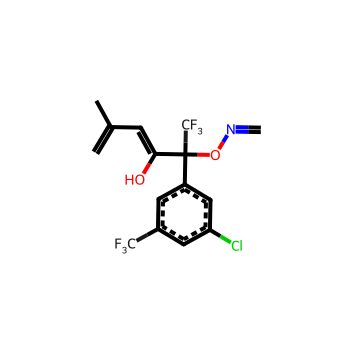 C=NOC(/C(O)=C/C(=C)C)(c1cc(Cl)cc(C(F)(F)F)c1)C(F)(F)F